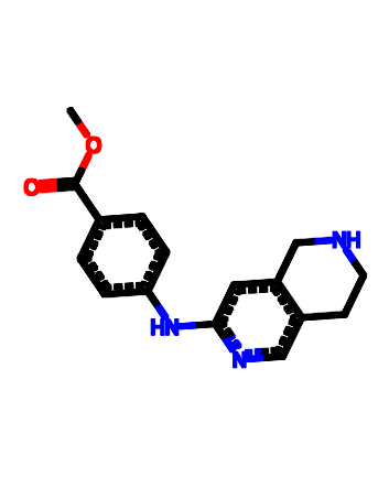 COC(=O)c1ccc(Nc2cc3c(cn2)CCNC3)cc1